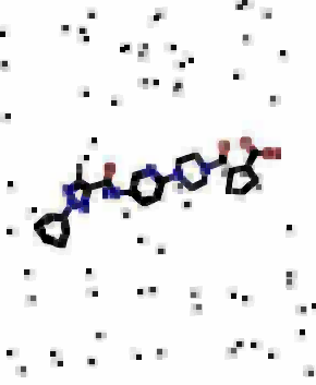 Cc1nn(-c2ccccc2)nc1C(=O)Nc1ccc(N2CCN(C(=O)[C@H]3CCC[C@@H]3C(=O)O)CC2)nc1